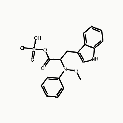 CON(c1ccccc1)C(Cc1c[nH]c2ccccc12)C(=O)OP(=O)(O)Cl